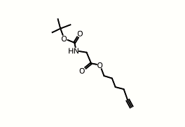 C#CCCCCOC(=O)CNC(=O)OC(C)(C)C